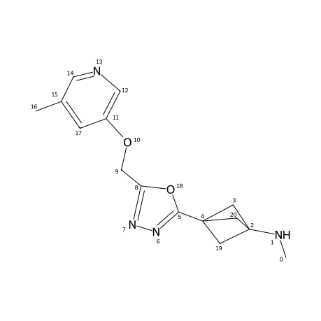 CNC12CC(c3nnc(COc4cncc(C)c4)o3)(C1)C2